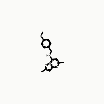 COc1ccc(CNc2cc(C)nc3cc(C)nn23)cc1